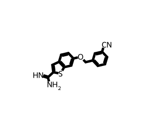 N#Cc1cccc(COc2ccc3cc(C(=N)N)sc3c2)c1